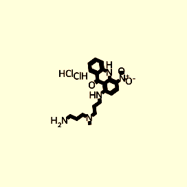 CN(CCCN)CCCNc1ccc([N+](=O)[O-])c2[nH]c3ccccc3c(=O)c12.Cl.Cl